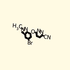 Cn1cc2cc(Br)cc(Oc3ccc(C#N)nn3)c2n1